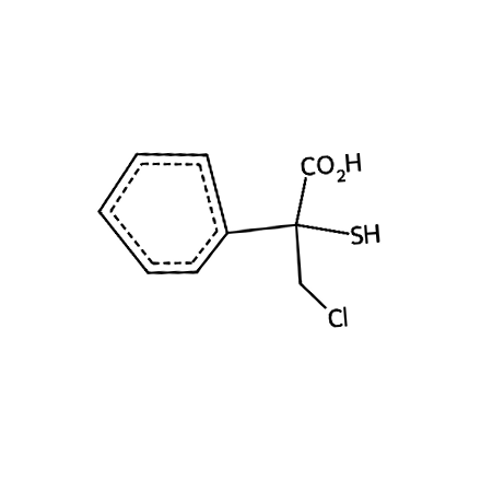 O=C(O)C(S)(CCl)c1ccccc1